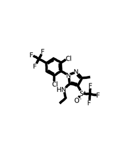 CCNc1c([S+]([O-])C(F)(F)F)c(C)nn1-c1c(Cl)cc(C(F)(F)F)cc1Cl